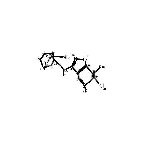 Fc1cc2c(N[C@@H]3CN4CCC3CC4)noc2c(F)c1Cl